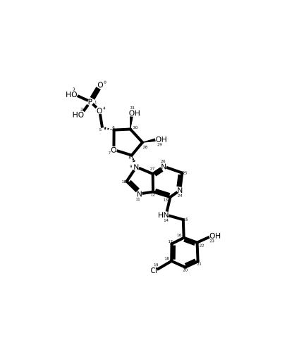 O=P(O)(O)OC[C@H]1O[C@@H](n2cnc3c(NCc4cc(Cl)ccc4O)ncnc32)[C@H](O)[C@@H]1O